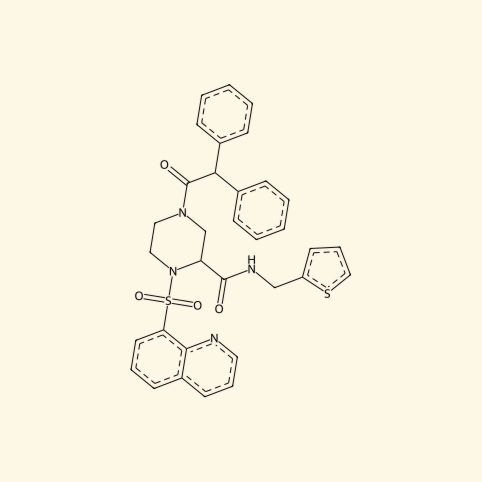 O=C(NCc1cccs1)C1CN(C(=O)C(c2ccccc2)c2ccccc2)CCN1S(=O)(=O)c1cccc2cccnc12